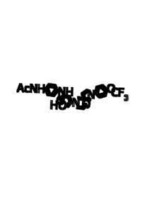 CC(=O)Nc1ccc(NC(=O)CC(CO)N2CCOC3(CCN(c4ccc(OC(F)(F)F)cc4)C3)C2)cc1